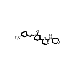 O=c1cc(-c2ccnc(NC3CCOCC3)n2)ccn1CCc1cccc(C(F)(F)F)c1